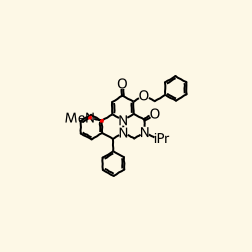 CNCc1cc(=O)c(OCc2ccccc2)c2n1N(C(c1ccccc1)c1ccccc1)CN(C(C)C)C2=O